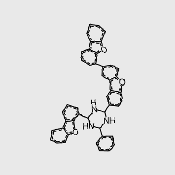 c1ccc(C2NC(c3ccc4oc5ccc(-c6cccc7c6oc6ccccc67)cc5c4c3)NC(c3cccc4c3oc3ccccc34)N2)cc1